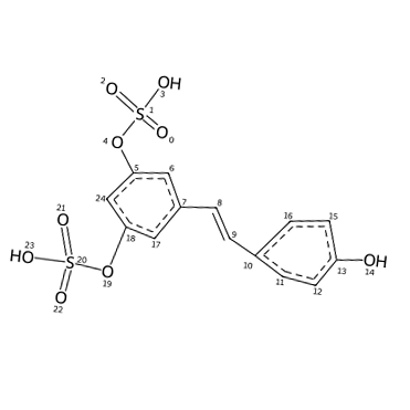 O=S(=O)(O)Oc1cc(/C=C/c2ccc(O)cc2)cc(OS(=O)(=O)O)c1